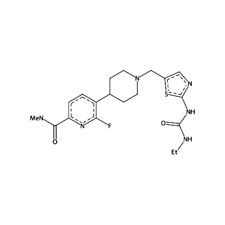 CCNC(=O)Nc1ncc(CN2CCC(c3ccc(C(=O)NC)nc3F)CC2)s1